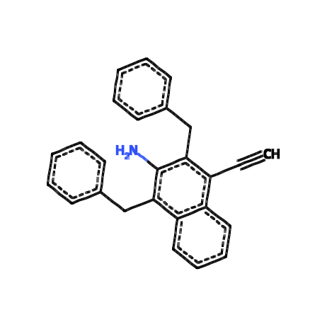 C#Cc1c(Cc2ccccc2)c(N)c(Cc2ccccc2)c2ccccc12